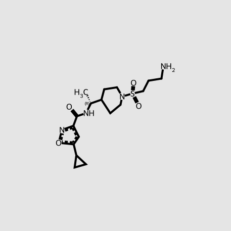 C[C@@H](NC(=O)c1cc(C2CC2)on1)C1CCN(S(=O)(=O)CCCN)CC1